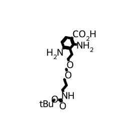 CC(C)(C)OC(=O)NCCCOCOCCc1c(N)ccc(C(=O)O)c1N